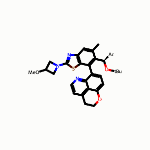 COC1CN(c2nc3cc(C)c([C@H](OC(C)(C)C)C(C)=O)c(-c4ccc5c6c(ccnc46)CCO5)c3s2)C1